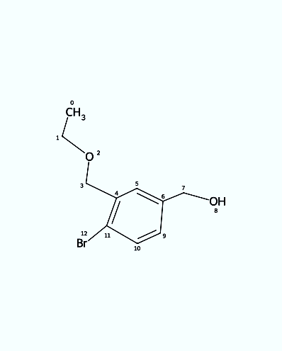 CCOCc1cc(CO)ccc1Br